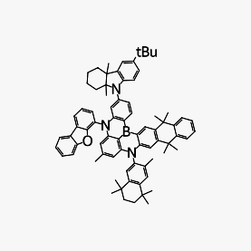 Cc1cc2c3c(c1)N(c1cccc4c1oc1ccccc14)c1cc(N4c5ccc(C(C)(C)C)cc5C5(C)CCCCC45C)ccc1B3c1cc3c(cc1N2c1cc2c(cc1C)C(C)(C)CCC2(C)C)C(C)(C)c1ccccc1C3(C)C